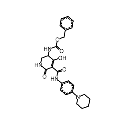 O=C(NC1CNC(=O)C(C(=O)Nc2ccc(N3CCCCC3)cc2)=C1O)OCc1ccccc1